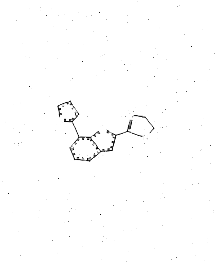 c1csc(-c2cccc3cc(C4=NCCN4)oc23)c1